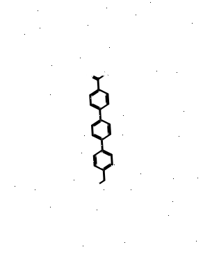 CCc1ccc(-c2ccc(-c3ccc(C(N)=O)cc3)cc2)cc1